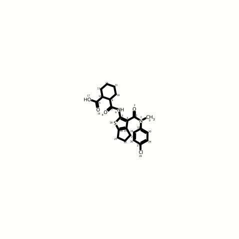 CN(C(=O)c1c(NC(=O)C2CCCCC2C(=O)O)sc2c1CCC2)c1ccc(Cl)cc1